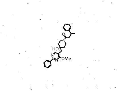 COc1nc(-c2ccccc2)ncc1CC1(O)CCN(C(=O)CC(C)c2ccccc2)CC1